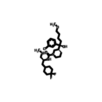 CNC[C@H](CC1CCC(F)(F)CC1)NC(=O)N1CCC[C@@H]([C@@](O)(CCCCOC)c2cccc(Cl)c2)C1